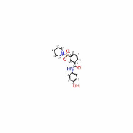 O=C(Nc1ccc(O)cc1)c1cccc(S(=O)(=O)N2CCCCC2)c1